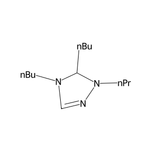 CCCCC1N(CCCC)C=NN1CCC